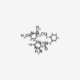 COCc1ccccc1CNC(=O)c1nc(-c2cc(C)nc(C)c2)c(I)nc1N